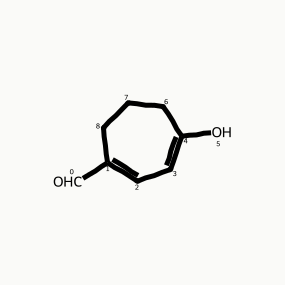 O=CC1=CC=C(O)CCC1